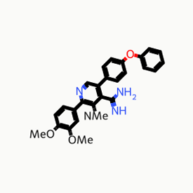 CNc1c(-c2ccc(OC)c(OC)c2)ncc(-c2ccc(Oc3ccccc3)cc2)c1C(=N)N